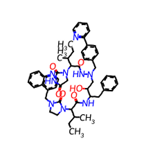 CCC(C)C(C(=O)NN(Cc1ccc(-c2ccccn2)cc1)CC(O)C(Cc1ccccc1)NC(=O)C(C(C)CC)N1CCN(Cc2ccnc3ccccc23)C1=O)N1CC(=O)NC1=O